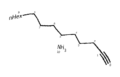 C#CCCCCCCCCCCCC[CH2].N